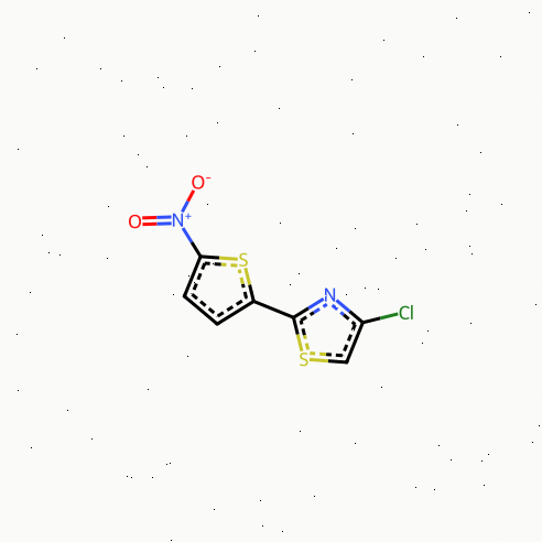 O=[N+]([O-])c1ccc(-c2nc(Cl)cs2)s1